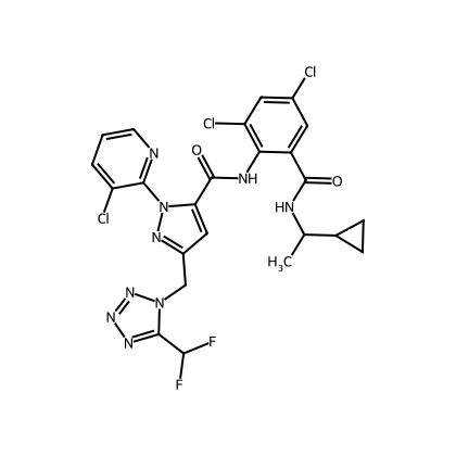 CC(NC(=O)c1cc(Cl)cc(Cl)c1NC(=O)c1cc(Cn2nnnc2C(F)F)nn1-c1ncccc1Cl)C1CC1